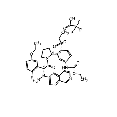 CCOC(=O)Nc1ccc(S(=O)(=O)CC)c([C@H]2CCCN2C(=O)[C@@H](c2cc(OCC)ccc2F)N(N)c2ccc3cnccc3c2)c1.O=C(O)C(F)(F)F